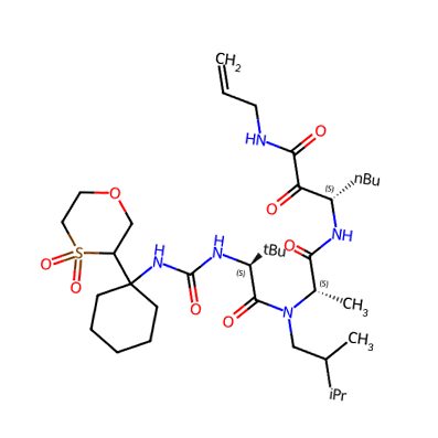 C=CCNC(=O)C(=O)[C@H](CCCC)NC(=O)[C@H](C)N(CC(C)C(C)C)C(=O)[C@@H](NC(=O)NC1(C2COCCS2(=O)=O)CCCCC1)C(C)(C)C